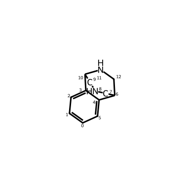 c1ccc2c(c1)C1CNCC2NC1